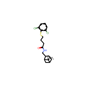 CC1(C)C2CCC(CNC(=O)CCCSc3c(Cl)cccc3Cl)C1C2